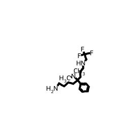 CN(C)C(CCCCN)(CCCNCC(F)(F)F)c1ccccc1